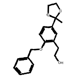 CC1(c2ccc(OCc3ccccc3)c(CCO)c2)OCCO1